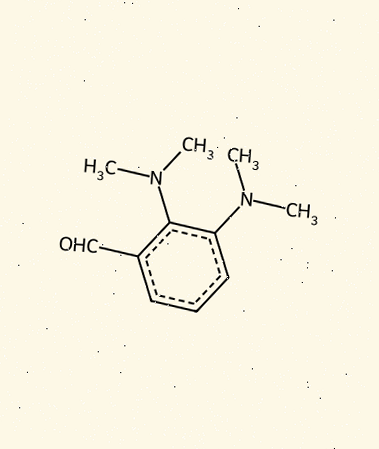 CN(C)c1cccc(C=O)c1N(C)C